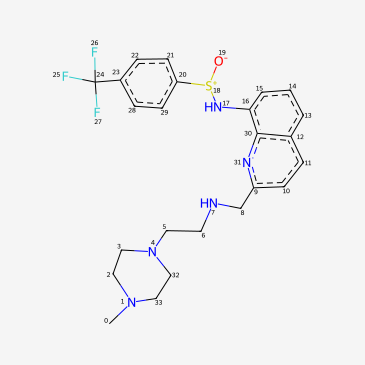 CN1CCN(CCNCc2ccc3cccc(N[S+]([O-])c4ccc(C(F)(F)F)cc4)c3n2)CC1